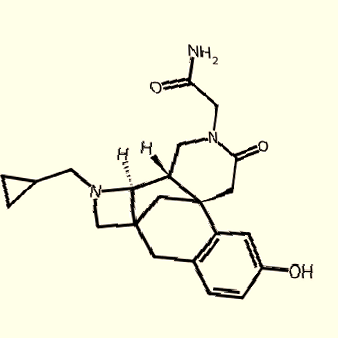 NC(=O)CN1C[C@H]2[C@@H]3N(CC4CC4)CC34Cc3ccc(O)cc3[C@]2(CC1=O)C4